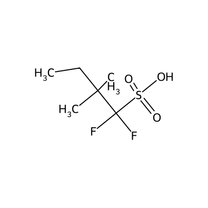 CCC(C)(C)C(F)(F)S(=O)(=O)O